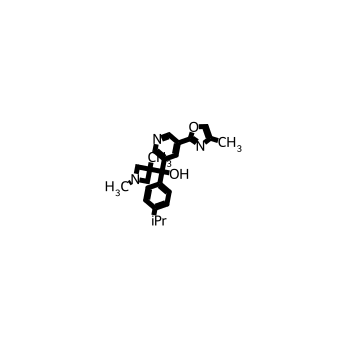 Cc1coc(-c2cncc(C(O)(c3ccc(C(C)C)cc3)C3(C)CN(C)C3)c2)n1